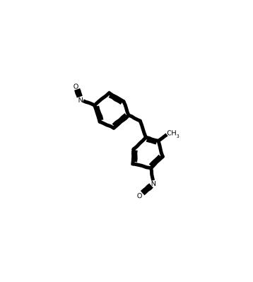 Cc1cc(N=O)ccc1Cc1ccc(N=O)cc1